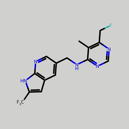 Cc1c(CF)ncnc1NCc1cnc2[nH]c(C(F)(F)F)cc2c1